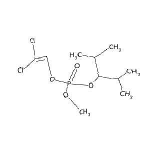 COP(=O)(OC=C(Cl)Cl)OC(C(C)C)C(C)C